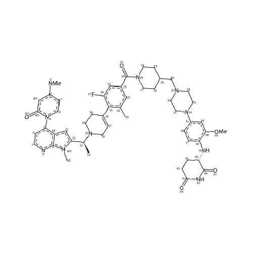 CNc1ccn(-c2ccnc3c2cc([C@H](C)N2CC=C(c4c(C)cc(C(=O)N5CCC(CN6CCN(c7ccc(N[C@H]8CCC(=O)NC8=O)c(OC)c7)CC6)CC5)cc4F)CC2)n3C)c(=O)c1